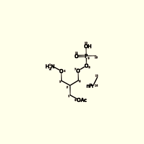 CC(=O)OCC(CON)COOP(C)(=O)O.CCCC